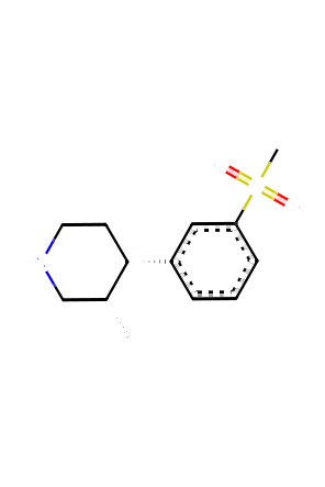 C[C@@H]1CNCC[C@@H]1c1cccc(S(C)(=O)=O)c1